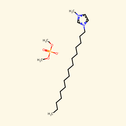 CCCCCCCCCCCCCCCC[n+]1ccn(C)c1.COP(=O)([O-])OC